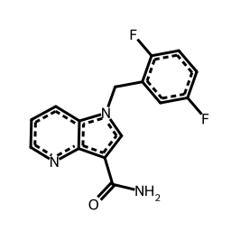 NC(=O)c1cn(Cc2cc(F)ccc2F)c2cccnc12